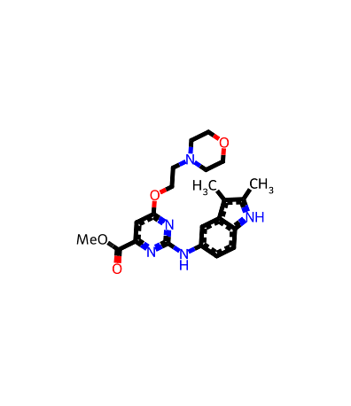 COC(=O)c1cc(OCCN2CCOCC2)nc(Nc2ccc3[nH]c(C)c(C)c3c2)n1